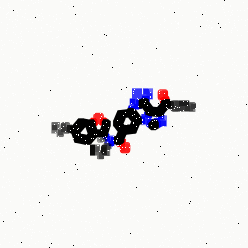 COC(=O)c1ncn2c1c(N)nc1ccc(C(=O)N(C)[C@@H]3COc4cc(C(F)(F)F)ccc43)cc12